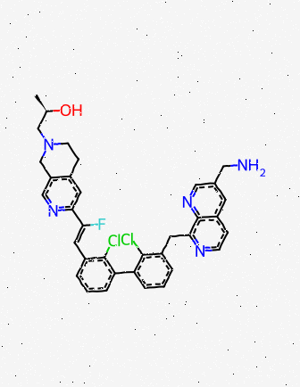 C[C@@H](O)CN1CCc2cc(/C(F)=C/c3cccc(-c4cccc(Cc5nccc6cc(CN)cnc56)c4Cl)c3Cl)ncc2C1